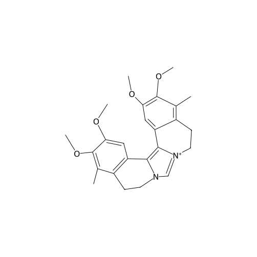 COc1cc2c(c(C)c1OC)CCn1c[n+]3c(c1-2)-c1cc(OC)c(OC)c(C)c1CC3